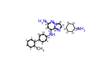 Cc1ccccc1-c1ccc(Nc2cc(N)nn3cc([C@H]4CC[C@H](N)CC4)nc23)cc1